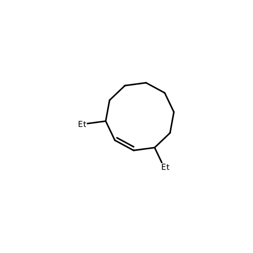 CCC1C=CC(CC)CCCCCC1